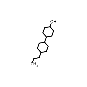 CCCC1CCC(C2CCC(O)CC2)CC1